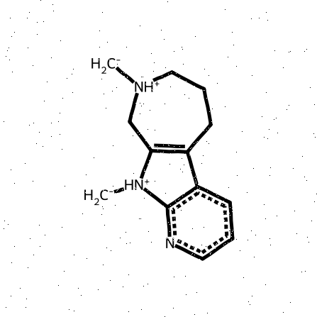 [CH2-][NH+]1CCCC2=C(C1)[NH+]([CH2-])c1ncccc12